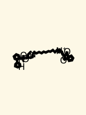 C[N+](C)(CCCCCCCCCCCN1CCC(OC(=O)Nc2ccccc2-c2ccccc2)CC1)CCN1C(=O)c2ccccc2C1=O